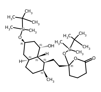 C[C@H]1CC[C@H]2C[C@@H](O[Si](C)(C)C(C)(C)C)C[C@H](O)[C@@H]2[C@H]1CC[C@]1(O[Si](C)(C)C(C)(C)C)CCCC(=O)O1